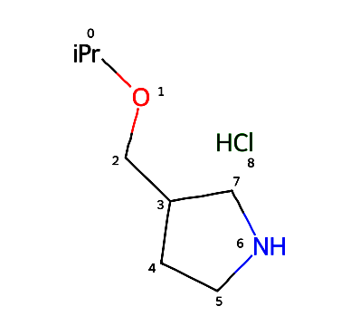 CC(C)OCC1CCNC1.Cl